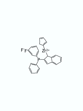 C1=CC[C]([Zr+2][CH]2C(P(c3ccccc3)c3ccccc3)=Cc3ccccc32)=C1.[F-].[F-]